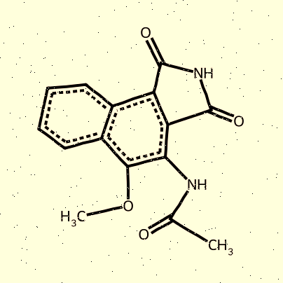 COc1c(NC(C)=O)c2c(c3ccccc13)C(=O)NC2=O